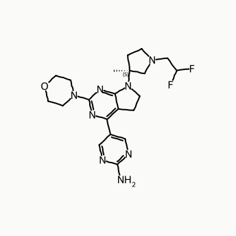 C[C@]1(N2CCc3c(-c4cnc(N)nc4)nc(N4CCOCC4)nc32)CCN(CC(F)F)C1